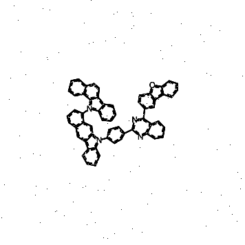 c1cc(-n2c3ccccc3c3ccc4ccccc4c32)c2cc3c(cc2c1)c1ccccc1n3-c1ccc(-c2nc(-c3ccc4oc5ccccc5c4c3)c3ccccc3n2)cc1